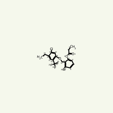 CCC(=O)Oc1cccc(Br)c1COc1cc(Cl)c(CC)cc1C(F)(F)F